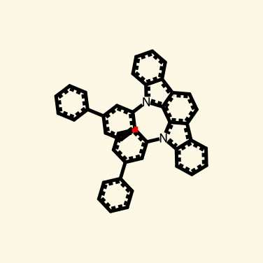 c1ccc(-c2cccc(-n3c4ccccc4c4ccc5c6ccccc6n(-c6cccc(-c7ccccc7)c6)c5c43)c2)cc1